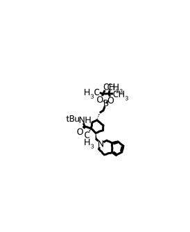 CC(C)(C)NC(=O)[C@@]1(C)C[C@H](CCB2OC(C)(C)C(C)(C)O2)CC[C@H]1CN1CCc2ccccc2C1